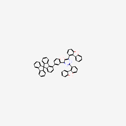 c1ccc2c(c1)-c1ccccc1C21c2ccccc2-c2c(-c3ccc4oc5c(-c6cccc7oc8ccccc8c67)nc(-c6cccc7oc8ccccc8c67)nc5c4c3)cccc21